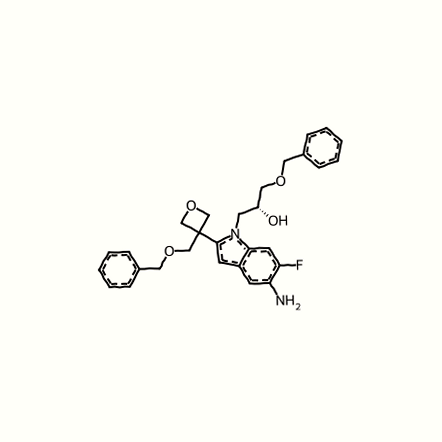 Nc1cc2cc(C3(COCc4ccccc4)COC3)n(C[C@@H](O)COCc3ccccc3)c2cc1F